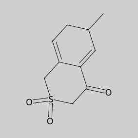 CC1C=C2C(=O)CS(=O)(=O)CC2=CC1